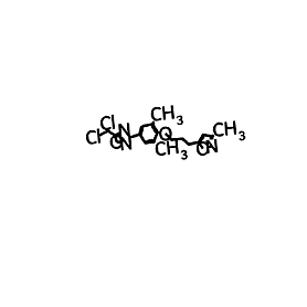 Cc1cc(CCCOc2c(C)cc(-c3noc(C(Cl)Cl)n3)cc2C)on1